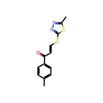 Cc1ccc(C(=O)/C=C/Sc2nnc(C)s2)cc1